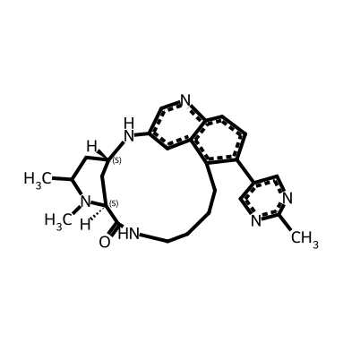 Cc1ncc(-c2ccc3ncc4cc3c2CCCCNC(=O)[C@@H]2C[C@H](CC(C)N2C)N4)cn1